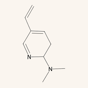 C=CC1=CCC(N(C)C)N=C1